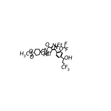 CCn1nc(C(=O)NCC2(O)CCC(S(C)(=O)=O)CC2)c(Cl)c1-c1ccc(C(O)CCC(F)(F)F)cc1OC(F)F